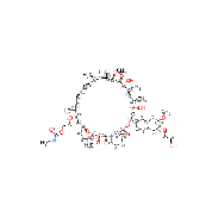 CNC(=O)OCCO[C@H]1C[C@@H]2CC[C@@H](C)[C@@](O)(O2)C(=O)C(=O)N2CCCC[C@H]2C(=O)OC([C@H](C)CC2CC[C@@H](OCCO)[C@H](OC)C2)CC(O)[C@H](C)/C=C(\C)[C@@H](O)[C@@H](OC)C(=O)[C@H](C)C[C@H](C)/C=C/C=C/C=C/1C